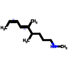 C/C=C\C=C(/C)C(C)CCCNC